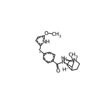 COc1ccc(Sc2ccc(C(=O)N[C@@H]3C4CCN(CC4)[C@H]3C)cc2)[nH]1